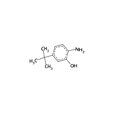 CC(C)(C)c1ccc(N)c(O)c1